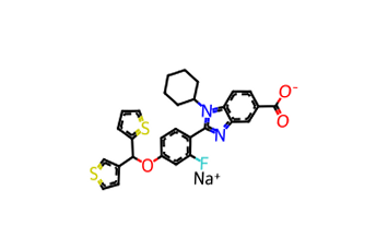 O=C([O-])c1ccc2c(c1)nc(-c1ccc(OC(c3ccsc3)c3cccs3)cc1F)n2C1CCCCC1.[Na+]